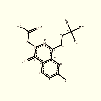 Cc1ccc2c(=O)n(CC(=O)O)nc(CCC(F)(F)F)c2c1